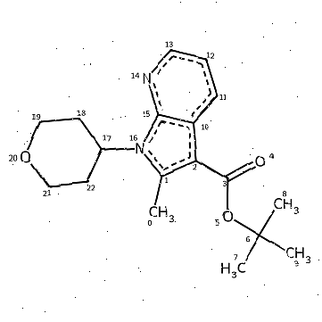 Cc1c(C(=O)OC(C)(C)C)c2cccnc2n1C1CCOCC1